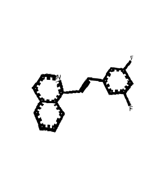 Fc1cc(F)cc(/C=C/c2nccc3ccccc23)c1